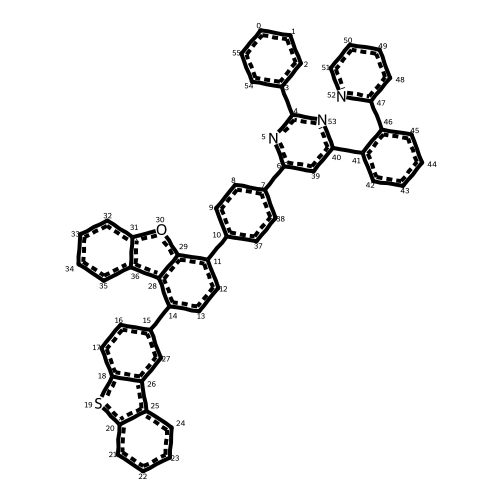 c1ccc(-c2nc(-c3ccc(-c4ccc(-c5ccc6sc7ccccc7c6c5)c5c4oc4ccccc45)cc3)cc(-c3ccccc3-c3ccccn3)n2)cc1